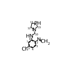 C=Nc1ccc(Cl)cc1NCN1CCPC1